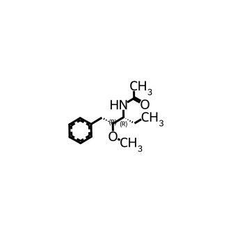 CC[C@@H](NC(C)=O)[C@@H](Cc1ccccc1)OC